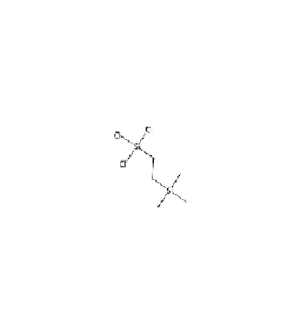 C[Si](C)(C)CC[Si](Cl)(Cl)Cl